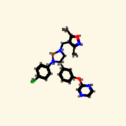 Cc1noc(C)c1CN1C[C@H](c2cccc(Oc3cnccn3)c2)N(c2ccc(Cl)cc2)S1